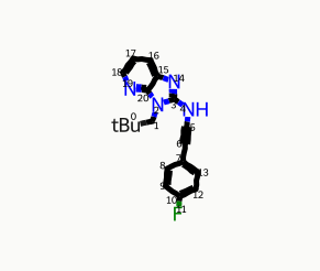 CC(C)(C)Cn1c(NC#Cc2ccc(F)cc2)nc2cccnc21